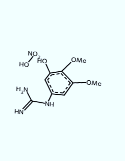 COc1cc(NC(=N)N)cc(O)c1OC.O=[N+]([O-])O